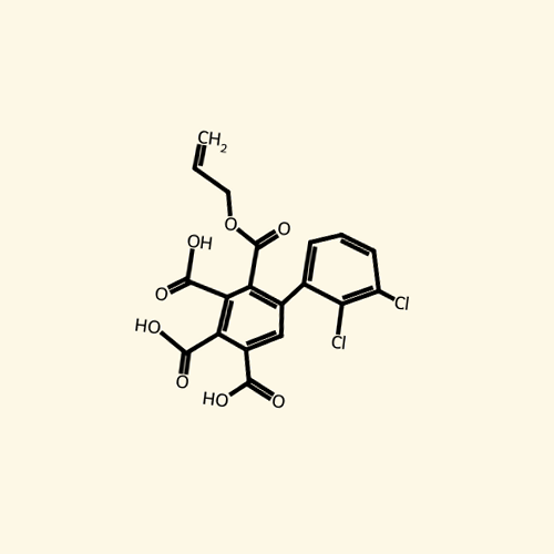 C=CCOC(=O)c1c(-c2cccc(Cl)c2Cl)cc(C(=O)O)c(C(=O)O)c1C(=O)O